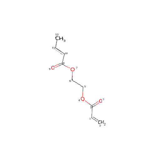 C=CC(=O)OCCOC(=O)C=CC